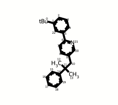 CC(C)(C)c1cccc(-c2ccc(CC(C)(C)c3ccccc3)cn2)c1